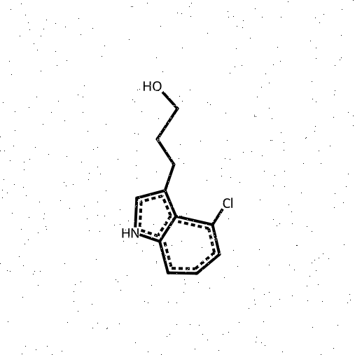 OCCCc1c[nH]c2cccc(Cl)c12